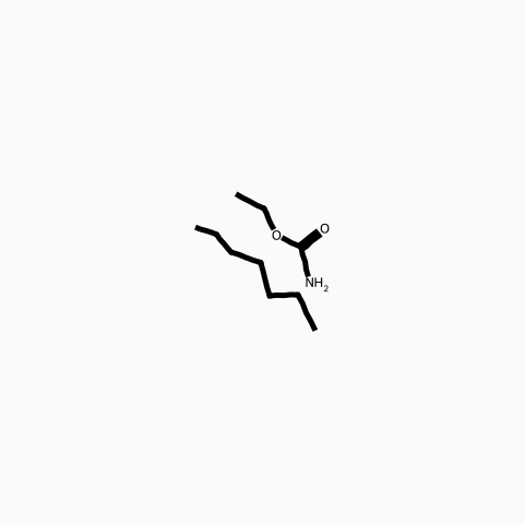 CCCCCCC.CCOC(N)=O